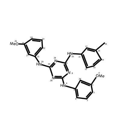 COc1cccc(Nc2nc(Nc3cccc(C)c3)nc(Nc3cccc(OC)c3)n2)c1